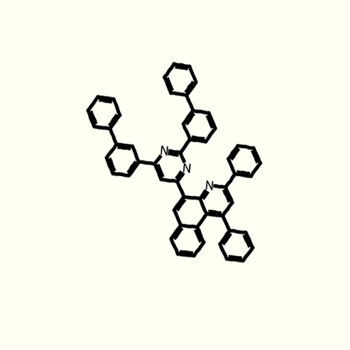 c1ccc(-c2cccc(-c3cc(-c4cc5ccccc5c5c(-c6ccccc6)cc(-c6ccccc6)nc45)nc(-c4cccc(-c5ccccc5)c4)n3)c2)cc1